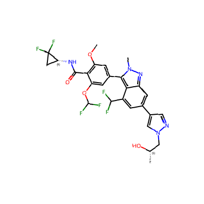 COc1cc(-c2c3c(C(F)F)cc(-c4cnn(C[C@H](C)O)c4)cc3nn2C)cc(OC(F)F)c1C(=O)N[C@@H]1CC1(F)F